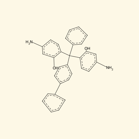 Nc1ccc(C(c2ccccc2)(c2ccc(-c3ccccc3)cc2)c2ccc(N)cc2O)c(O)c1